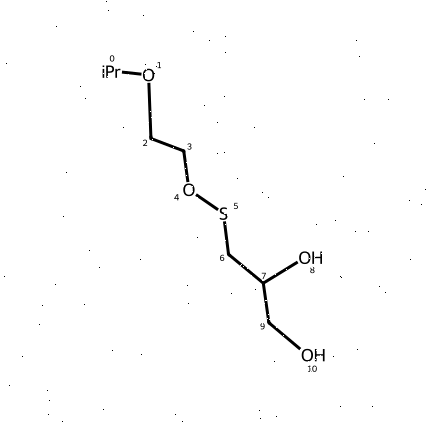 CC(C)OCCOSCC(O)CO